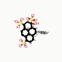 O=S(=O)([O-])C1=c2ccc3c(S(=O)(=O)[O-])ccc4ccc(c2c43)C(O)(S(=O)(=O)[O-])C1.[Na+].[Na+].[Na+]